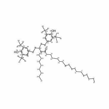 CCCCCCCCCCCCCCCCCC(=O)N(CCCCCCCC)C(CCc1cc(C(C)(C)C)c(O)c(C(C)(C)C)c1)CCc1cc(C(C)(C)C)c(O)c(C(C)(C)C)c1